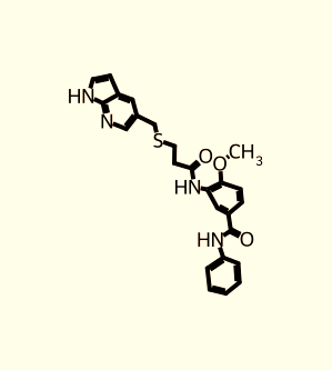 COc1ccc(C(=O)Nc2ccccc2)cc1NC(=O)CCSCc1cnc2[nH]ccc2c1